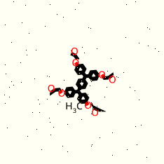 Cc1cc(C(c2ccc(OCC3CO3)cc2)c2ccc(C(c3ccc(OCC4CO4)cc3)c3ccc(OCC4CO4)cc3)cc2)ccc1OC[C@H]1CO1